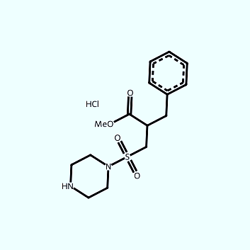 COC(=O)C(Cc1ccccc1)CS(=O)(=O)N1CCNCC1.Cl